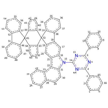 c1ccc(-c2nc(-c3ccccc3)nc(-n3c4cc5c(cc4c4c6ccccc6ccc43)C3(c4ccccc4-5)c4ccccc4C4(c5ccccc5-c5ccccc54)c4ccccc43)n2)cc1